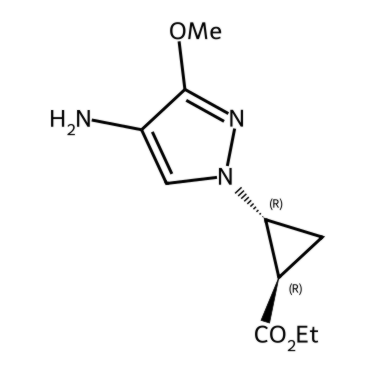 CCOC(=O)[C@@H]1C[C@H]1n1cc(N)c(OC)n1